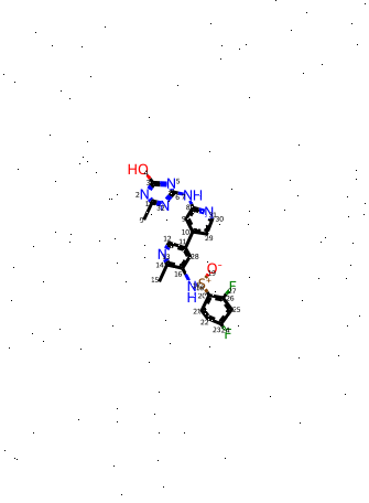 Cc1nc(O)nc(Nc2cc(-c3cnc(C)c(N[S+]([O-])c4ccc(F)cc4F)c3)ccn2)n1